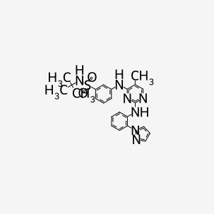 Cc1cnc(Nc2ccccc2-n2cccn2)nc1Nc1cccc(S(=O)(=O)NC(C)(C)C)c1